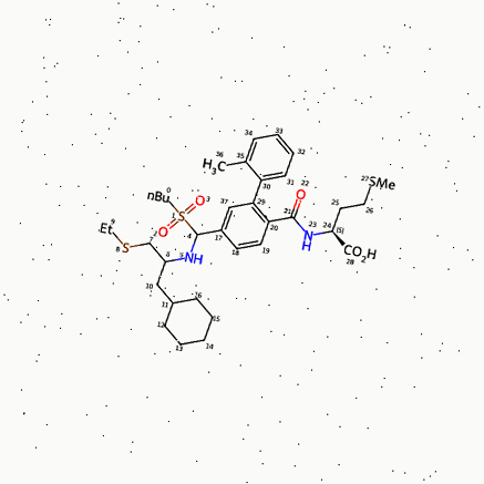 CCCCS(=O)(=O)C(NC(CSCC)CC1CCCCC1)c1ccc(C(=O)N[C@@H](CCSC)C(=O)O)c(-c2ccccc2C)c1